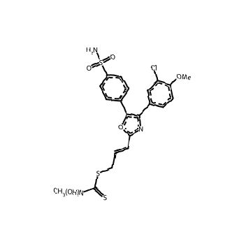 COc1ccc(-c2nc(C=CCSC(=S)N(C)O)oc2-c2ccc(S(N)(=O)=O)cc2)cc1Cl